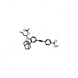 CCCC(OC(C)=O)Oc1ccc(C#Cc2ccc(C(=O)O)cc2)cc1C12CC3CC(CC(C3)C1)C2